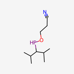 CC(C)C(POCCC#N)C(C)C